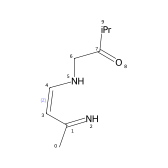 CC(=N)/C=C\NCC(=O)C(C)C